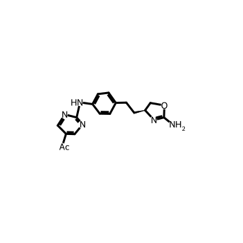 CC(=O)c1cnc(Nc2ccc(CC[C@H]3COC(N)=N3)cc2)nc1